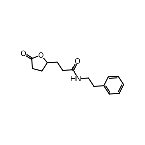 O=C(CCC1CCC(=O)O1)NCCc1ccccc1